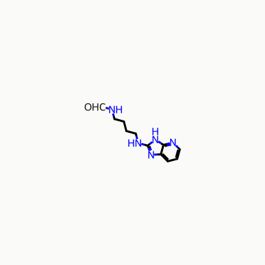 O=CNCCCCNc1nc2cccnc2[nH]1